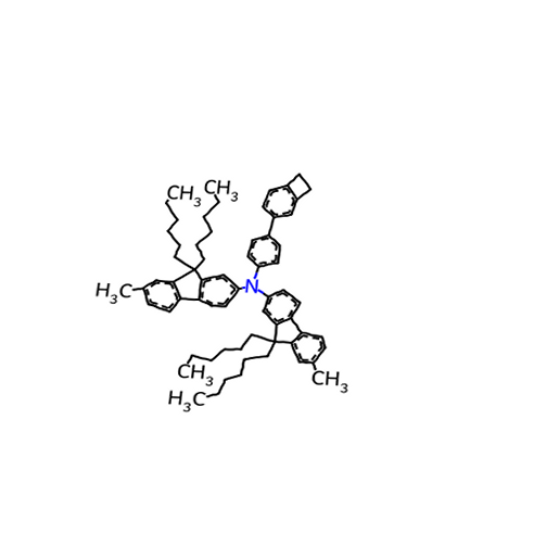 CCCCCCC1(CCCCCC)c2cc(C)ccc2-c2ccc(N(c3ccc(-c4ccc5c(c4)CC5)cc3)c3ccc4c(c3)C(CCCCCC)(CCCCCC)c3cc(C)ccc3-4)cc21